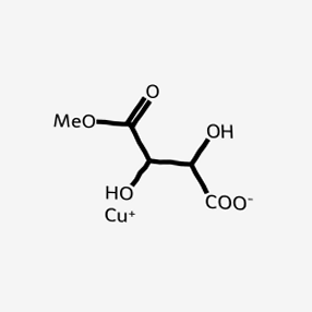 COC(=O)C(O)C(O)C(=O)[O-].[Cu+]